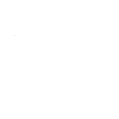 COC[C@H]1CCCN1CCCn1nc(Nc2c(C)cccc2C)c2ccc(Nc3ccc(N4CCNCC4)cc3)cc21